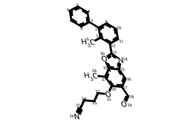 Cc1c(-c2ccccc2)cccc1-c1nc2cc(C=O)c(OCCCC#N)c(C)c2o1